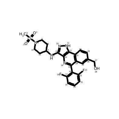 CS(=O)(=O)N1CCC(Nc2n[nH]c3c2nc(-c2c(F)cccc2F)c2cc(CO)ccc23)CC1